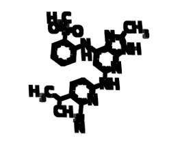 Cc1nc2c(Nc3ccccc3S(C)(=O)=O)cc(Nc3ccc(C(C)C)c(C#N)n3)nc2[nH]1